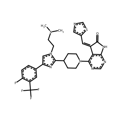 CN(C)CCn1cc(-c2ccc(F)c(C(F)(F)F)c2)nc1C1CCN(c2ncnc3c2/C(=C/c2cncs2)C(=O)N3)CC1